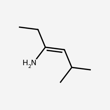 CCC(N)=CC(C)C